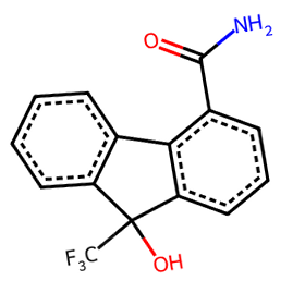 NC(=O)c1cccc2c1-c1ccccc1C2(O)C(F)(F)F